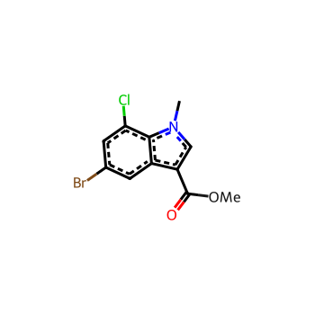 COC(=O)c1cn(C)c2c(Cl)cc(Br)cc12